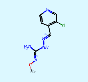 CCCO/N=C(\N)N/N=C/c1ccncc1Cl